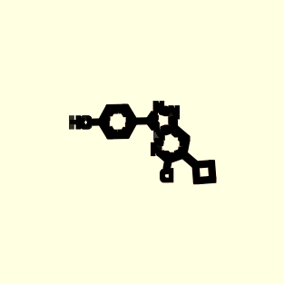 Oc1ccc(-c2nnc3cc(C4CCC4)c(Cl)nn23)cc1